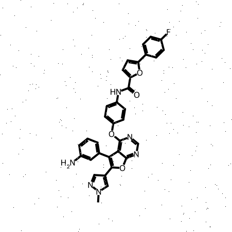 Cn1cc(-c2oc3ncnc(Oc4ccc(NC(=O)c5ccc(-c6ccc(F)cc6)o5)cc4)c3c2-c2cccc(N)c2)cn1